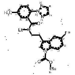 CCN(CCc1cn(C(=O)OC(C)(C)C)c2ccc(F)cc12)C(=O)c1cc(C)ccc1-n1nccn1